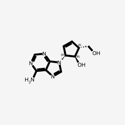 Nc1ncnc2c1ncn2[C@@H]1C=C[C@H](CO)[C@H]1O